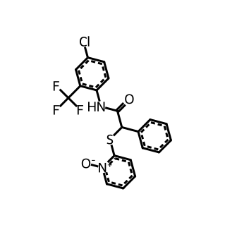 O=C(Nc1ccc(Cl)cc1C(F)(F)F)C(Sc1cccc[n+]1[O-])c1ccccc1